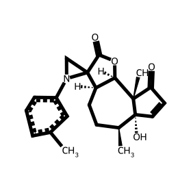 Cc1cccc(N2CC23C(=O)O[C@@H]2[C@H]3CC[C@H](C)[C@]3(O)C=CC(=O)[C@@]23C)c1